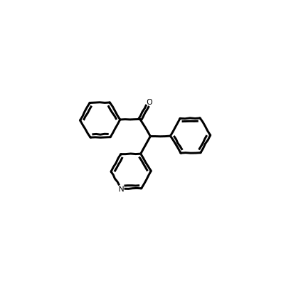 O=C(c1ccccc1)C(c1ccccc1)c1ccncc1